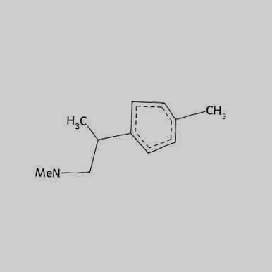 CNCC(C)c1ccc(C)cc1